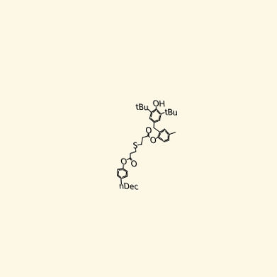 CCCCCCCCCCc1ccc(OC(=O)CCSCCC(=O)Oc2ccc(C)cc2Cc2cc(C(C)(C)C)c(O)c(C(C)(C)C)c2)cc1